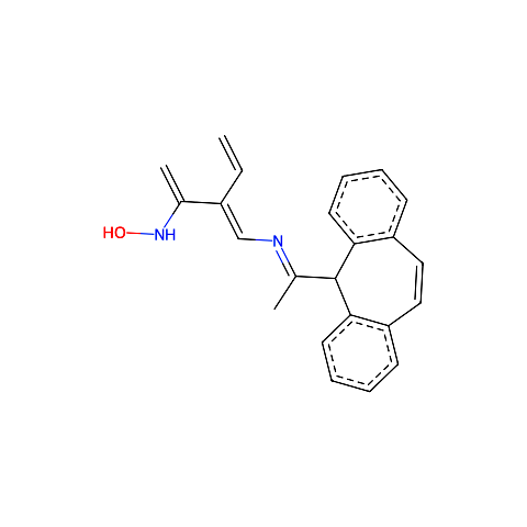 C=C/C(=C\N=C(/C)C1c2ccccc2C=Cc2ccccc21)C(=C)NO